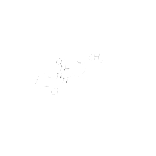 Cc1ccc2nn(-c3ccccc3Cl)[n+]([O-])c2c1